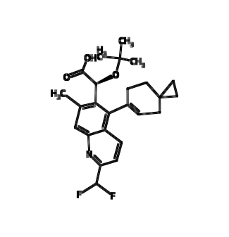 Cc1cc2nc(C(F)F)ccc2c(C2=CCC3(CC2)CC3)c1[C@H](OC(C)(C)C)C(=O)O